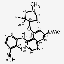 C#Cc1cccc(Nc2ncnc3cc(OC)cc(OC4CCN(C)CC4(F)F)c23)c1I